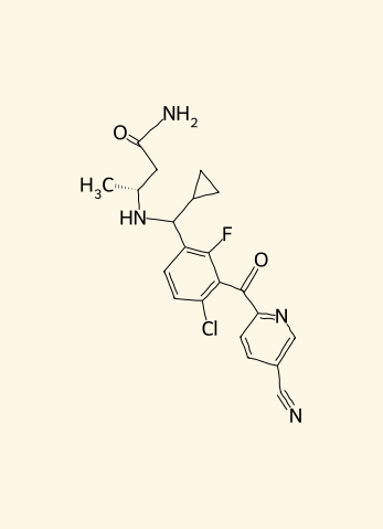 C[C@H](CC(N)=O)NC(c1ccc(Cl)c(C(=O)c2ccc(C#N)cn2)c1F)C1CC1